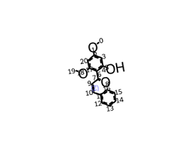 COc1cc(O)c(C(=O)/C=C\c2ccccc2)c(OC)c1